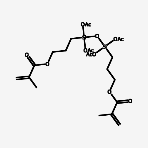 C=C(C)C(=O)OCCC[Si](OC(C)=O)(OC(C)=O)O[Si](CCCOC(=O)C(=C)C)(OC(C)=O)OC(C)=O